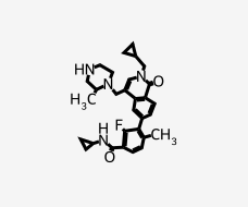 Cc1ccc(C(=O)NC2CC2)c(F)c1-c1ccc2c(=O)n(CC3CC3)cc(CN3CCNCC3C)c2c1